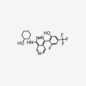 Oc1cc(C(F)(F)F)cc(F)c1-c1nnc(N[C@H]2CCCC[C@@H]2O)c2cnccc12